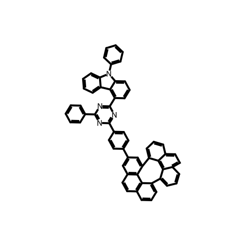 c1ccc(-c2nc(-c3ccc(-c4cc5ccc6cccc7c8cccc9ccc%10cccc(c(c4)c5c67)c%10c98)cc3)nc(-c3cccc4c3c3ccccc3n4-c3ccccc3)n2)cc1